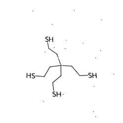 SCCC(CCS)(CCS)CCS